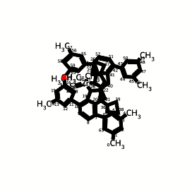 Cc1cc(C)cc(-c2ccc(-c3cc(C)cc(C)c3)c3c2C=C(CC2CCC2)[CH]3[Zr]([CH3])([CH3])(=[SiH2])[CH]2C(CC3CCC3)=Cc3c(-c4cc(C)cc(C)c4)ccc(-c4cc(C)cc(C)c4)c32)c1